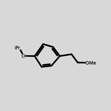 COCCc1ccc(OC(C)C)cc1